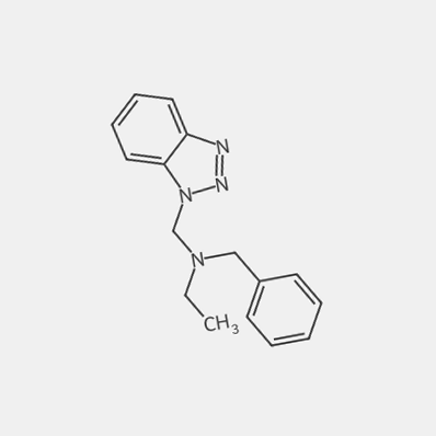 CCN(Cc1ccccc1)Cn1nnc2ccccc21